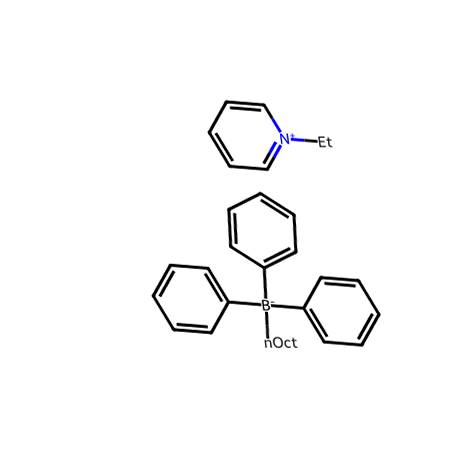 CCCCCCCC[B-](c1ccccc1)(c1ccccc1)c1ccccc1.CC[n+]1ccccc1